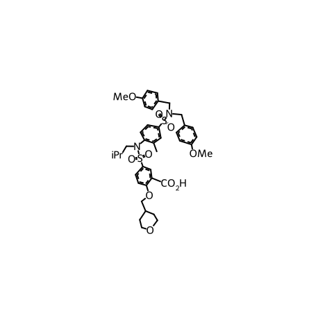 COc1ccc(CN(Cc2ccc(OC)cc2)S(=O)(=O)c2ccc(N(CC(C)C)S(=O)(=O)c3ccc(OCC4CCOCC4)c(C(=O)O)c3)c(C)c2)cc1